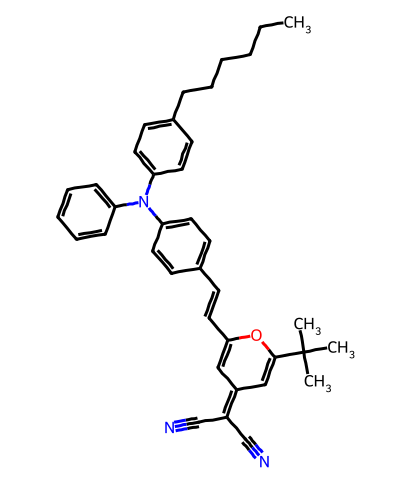 CCCCCCc1ccc(N(c2ccccc2)c2ccc(C=CC3=CC(=C(C#N)C#N)C=C(C(C)(C)C)O3)cc2)cc1